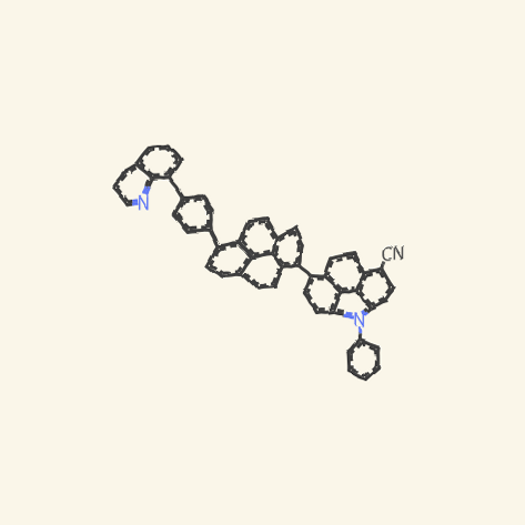 N#Cc1ccc2c3c1ccc1c(-c4ccc5ccc6c(-c7ccc(-c8cccc9cccnc89)cc7)ccc7ccc4c5c76)ccc(c13)n2-c1ccccc1